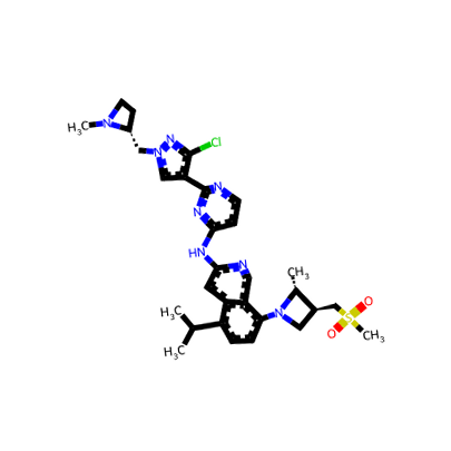 CC(C)c1ccc(N2C[C@H](CS(C)(=O)=O)[C@H]2C)c2cnc(Nc3ccnc(-c4cn(C[C@H]5CCN5C)nc4Cl)n3)cc12